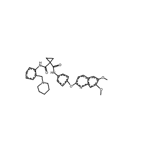 COc1cc2ccc(Oc3ccc(NC(=O)C4(C(=O)Nc5ccccc5CN5CCCCC5)CC4)cc3)nc2cc1OC